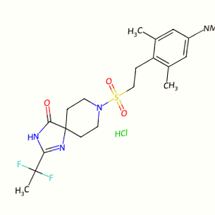 CNc1cc(C)c(CCS(=O)(=O)N2CCC3(CC2)N=C(C(C)(F)F)NC3=O)c(C)c1.Cl